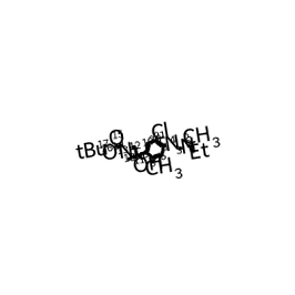 CCN(C)C=Nc1cc(C)c(C2(O)CN(C(=O)OC(C)(C)C)C2)cc1Cl